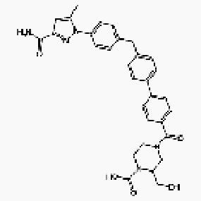 Cc1cc(C(N)=O)nn1-c1ccc(Cc2ccc(-c3ccc(C(=O)N4CCN(C(=O)O)C(CO)C4)cc3)cc2)cc1